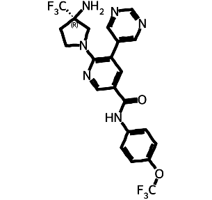 N[C@]1(C(F)(F)F)CCN(c2ncc(C(=O)Nc3ccc(OC(F)(F)F)cc3)cc2-c2cncnc2)C1